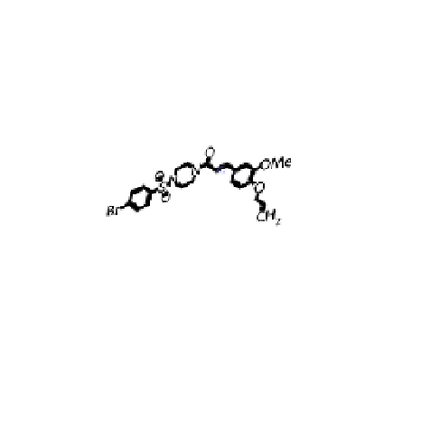 C=CCOc1ccc(/C=C/C(=O)N2CCN(S(=O)(=O)c3ccc(Br)cc3)CC2)cc1OC